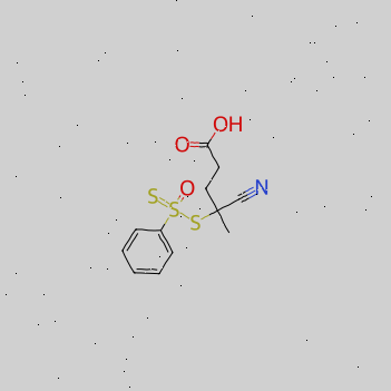 CC(C#N)(CCC(=O)O)SS(=O)(=S)c1ccccc1